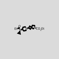 CCOC(=O)N1CCC2(CC(N3CCC(N(C(=O)CC)C4CC4)CC3)C2)C1